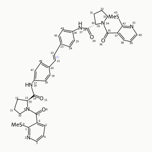 CSc1ncccc1C(=O)N1CCC[C@H]1C(=O)Nc1ccc(/C=C/c2ccc(NC(=O)[C@@H]3CCCN3C(=O)c3cccnc3SC)cc2)cc1